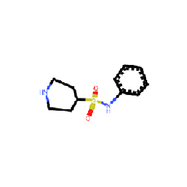 O=S(=O)(Nc1ccccc1)C1CCNCC1